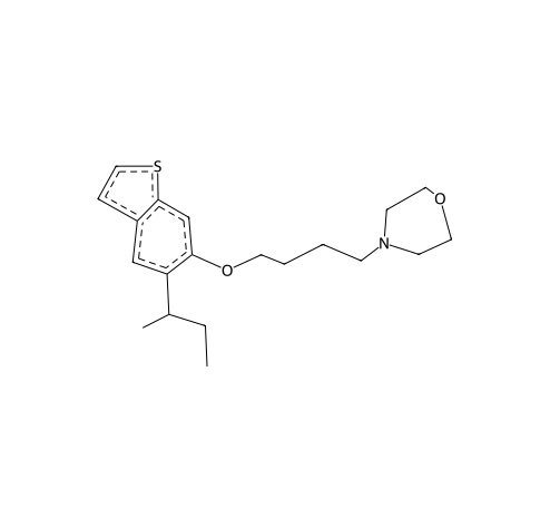 CCC(C)c1cc2ccsc2cc1OCCCCN1CCOCC1